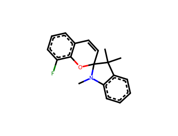 CN1c2ccccc2C(C)(C)C12C=Cc1cccc(F)c1O2